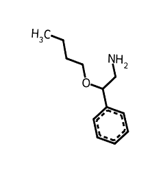 CCCCOC(CN)c1ccccc1